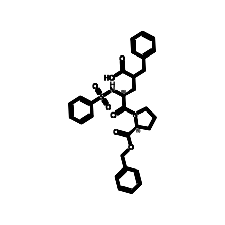 O=C(O)C(Cc1ccccc1)C[C@H](NS(=O)(=O)c1ccccc1)C(=O)N1CCC[C@H]1C(=O)OCc1ccccc1